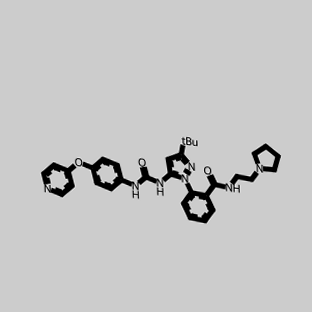 CC(C)(C)c1cc(NC(=O)Nc2ccc(Oc3ccncc3)cc2)n(-c2ccccc2C(=O)NCCN2CCCC2)n1